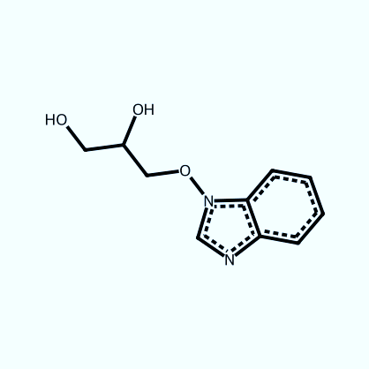 OCC(O)COn1cnc2ccccc21